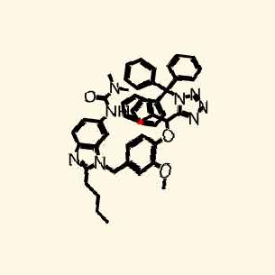 CCCCc1nc2ccc(NC(=O)N(C)C)cc2n1Cc1ccc(OC(c2ccccc2)c2nnnn2C(c2ccccc2)(c2ccccc2)c2ccccc2)c(OC)c1